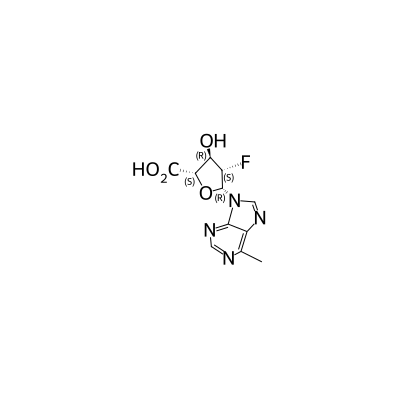 Cc1ncnc2c1ncn2[C@@H]1O[C@H](C(=O)O)[C@@H](O)[C@@H]1F